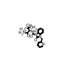 CC(C)(C)[C@H](NC(=O)n1c(=O)n(Cc2ccccn2)c2ccccc21)C(N)=O